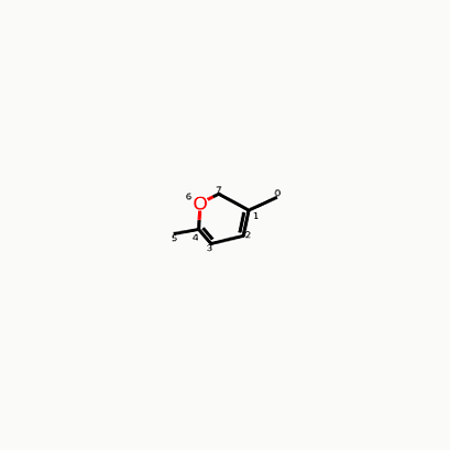 CC1=CC=C(C)OC1